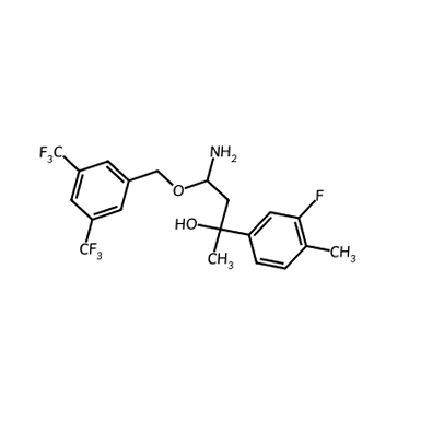 Cc1ccc(C(C)(O)CC(N)OCc2cc(C(F)(F)F)cc(C(F)(F)F)c2)cc1F